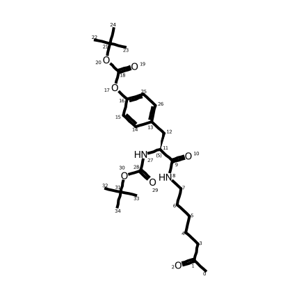 CC(=O)CCCCCNC(=O)[C@H](Cc1ccc(OC(=O)OC(C)(C)C)cc1)NC(=O)OC(C)(C)C